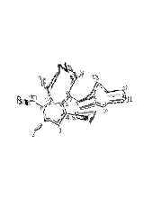 Brc1ccc(Br)c2c(-c3ccccc3)cncc12